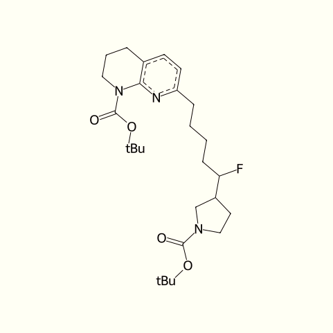 CC(C)(C)OC(=O)N1CCC(C(F)CCCCc2ccc3c(n2)N(C(=O)OC(C)(C)C)CCC3)C1